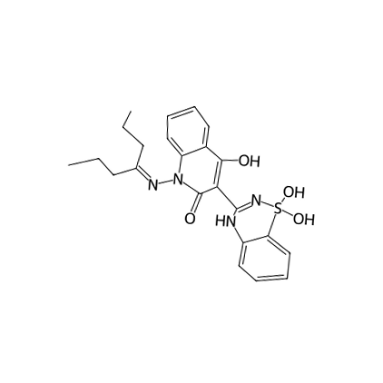 CCCC(CCC)=Nn1c(=O)c(C2=NS(O)(O)c3ccccc3N2)c(O)c2ccccc21